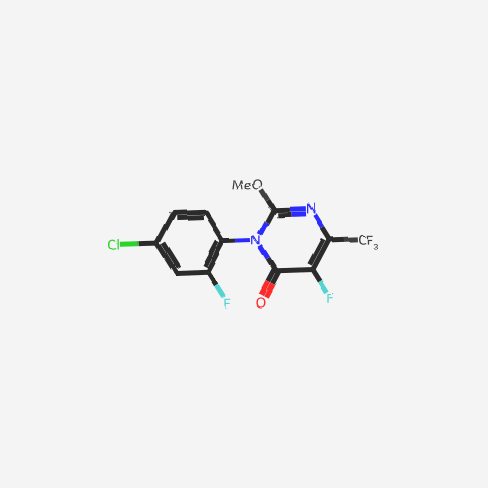 COc1nc(C(F)(F)F)c(F)c(=O)n1-c1c[c]c(Cl)cc1F